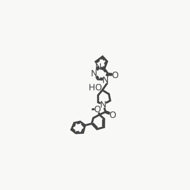 COC1(C(=O)N2CCC(O)(Cn3cnn4cccc4c3=O)CC2)C=CC=C(c2ccccc2)C1